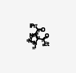 CCC(=O)c1c(C(=O)C(C)C)nnn1C